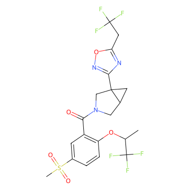 CC(Oc1ccc(S(C)(=O)=O)cc1C(=O)N1CC2CC2(c2noc(CC(F)(F)F)n2)C1)C(F)(F)F